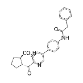 O=C(Cc1ccccc1)Nc1ccc(-c2ccc(C(=O)[C@@H]3CCC[C@H]3C(=O)O)nc2)cc1